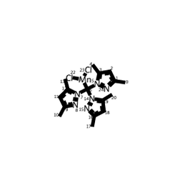 Cc1cc(C)n([C](n2nc(C)cc2C)(n2nc(C)cc2C)[Mn]([Cl])[Cl])n1